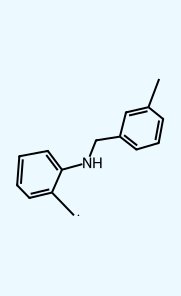 [CH2]c1ccccc1NCc1cccc(C)c1